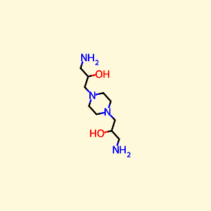 NCC(O)CN1CCN(CC(O)CN)CC1